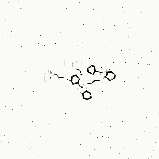 CCN(CC)CCCOc1cccc(-c2nc3ccccc3n2CC=CCn2c(-c3cccc(OCCCN(CC)CC)c3)nc3ccccc32)c1